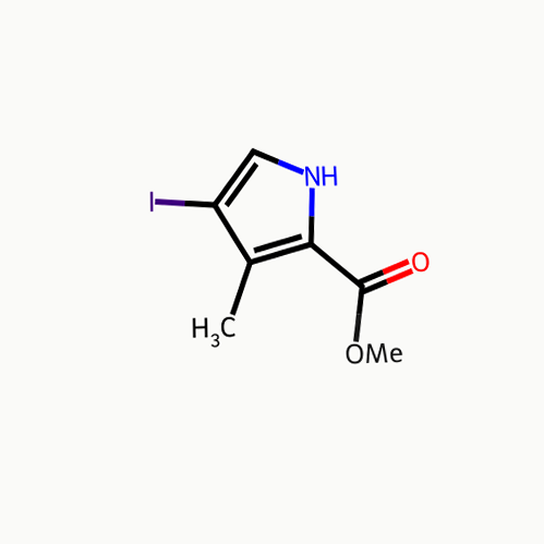 COC(=O)c1[nH]cc(I)c1C